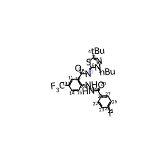 CCCCn1nc(C(C)(C)C)s/c1=N\C(=O)c1cc(C(F)(F)F)ccc1NNC(=O)c1ccc(F)cc1